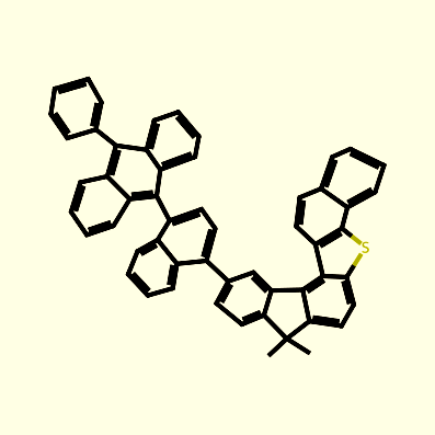 CC1(C)c2ccc(-c3ccc(-c4c5ccccc5c(-c5ccccc5)c5ccccc45)c4ccccc34)cc2-c2c1ccc1sc3c4ccccc4ccc3c21